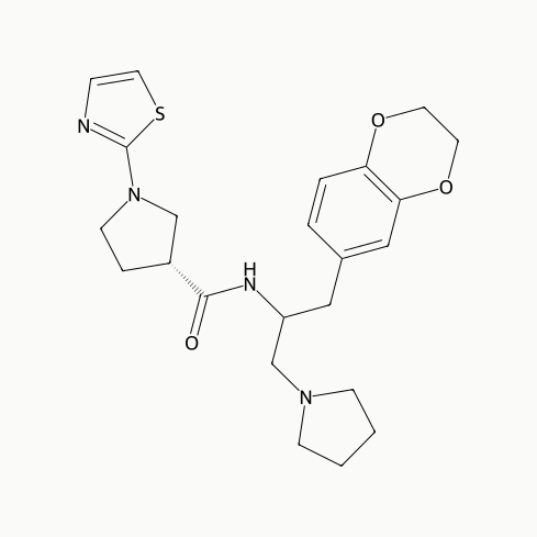 O=C(NC(Cc1ccc2c(c1)OCCO2)CN1CCCC1)[C@@H]1CCN(c2nccs2)C1